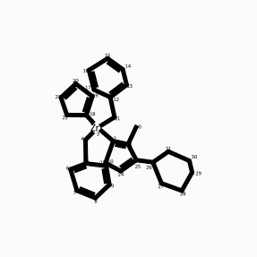 CC1=[C]([Zr]([CH2]c2ccccc2)([CH2]c2ccccc2)[C]2=CC=CC2)CC=C1C1CCCCC1